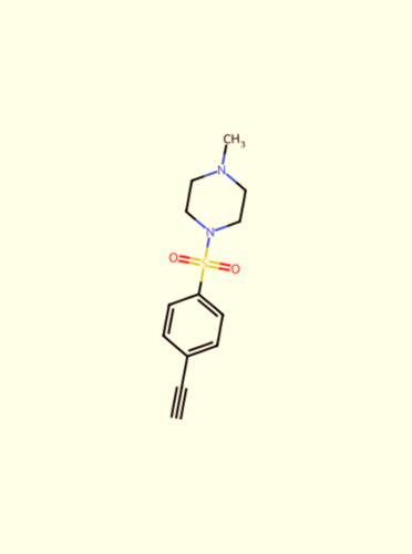 [C]#Cc1ccc(S(=O)(=O)N2CCN(C)CC2)cc1